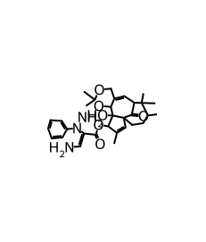 CC1=CC23CCC(C)C(C)(C)C(C=C4COC(C)(C)OC4C2(O)C1OC(=O)/C(=C/N)N(N)c1ccccc1)C3=O